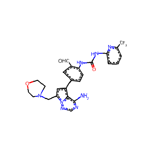 Nc1ncnn2c(CN3CCOCC3)cc(-c3ccc(NC(=O)Nc4cccc(C(F)(F)F)n4)c(C=O)c3)c12